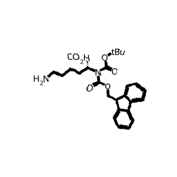 CC(C)(C)OC(=O)N(C(=O)OCC1c2ccccc2-c2ccccc21)[C@H](CCCCN)C(=O)O